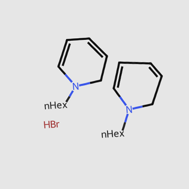 Br.CCCCCCN1C=CC=CC1.CCCCCCN1C=CC=CC1